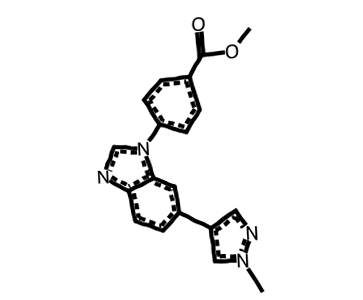 COC(=O)c1ccc(-n2cnc3ccc(-c4cnn(C)c4)cc32)cc1